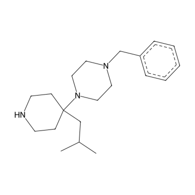 CC(C)CC1(N2CCN(Cc3ccccc3)CC2)CCNCC1